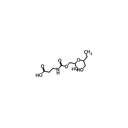 CCC(CO)OC(O)COC(=O)NCCC(=O)O